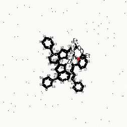 CCC(=O)[NH][In]([NH]C(=O)CC)[Zr]([C](=CC=Cc1ccccc1)c1ccccc1)([CH]1C(C)=Cc2c(-c3ccccc3)cccc21)[CH]1C(C)=Cc2c(-c3ccccc3)cccc21